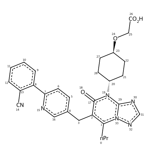 CCCc1c(Cc2ccc(-c3ccccc3C#N)nc2)c(=O)n([C@H]2CC[C@H](OCC(=O)O)CC2)c2ncnn12